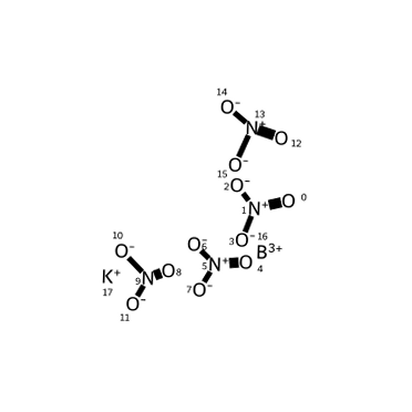 O=[N+]([O-])[O-].O=[N+]([O-])[O-].O=[N+]([O-])[O-].O=[N+]([O-])[O-].[B+3].[K+]